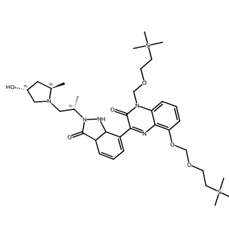 C[C@@H]1C[C@@H](O)CN1C[C@H](C)N1NC2C(c3nc4c(OCOCC[Si](C)(C)C)cccc4n(COCC[Si](C)(C)C)c3=O)=CC=CC2C1=O